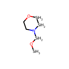 [SiH3]O[SiH2]N1CCO[SiH2][SiH2]1